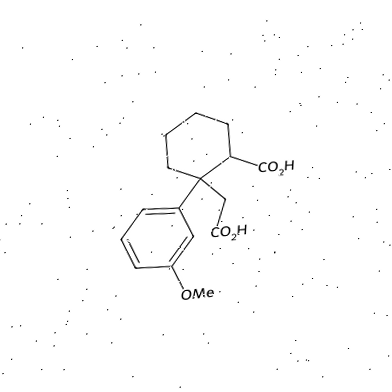 COc1cccc(C2(CC(=O)O)CCCCC2C(=O)O)c1